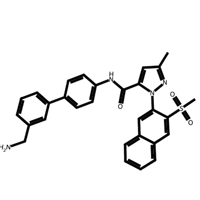 Cc1cc(C(=O)Nc2ccc(-c3cccc(CN)c3)cc2)n(-c2cc3ccccc3cc2S(C)(=O)=O)n1